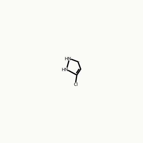 ClC1=C[CH]NN1